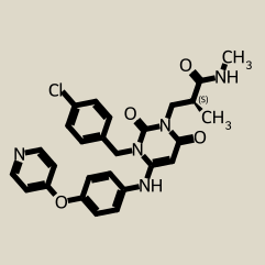 CNC(=O)[C@@H](C)Cn1c(=O)cc(Nc2ccc(Oc3ccncc3)cc2)n(Cc2ccc(Cl)cc2)c1=O